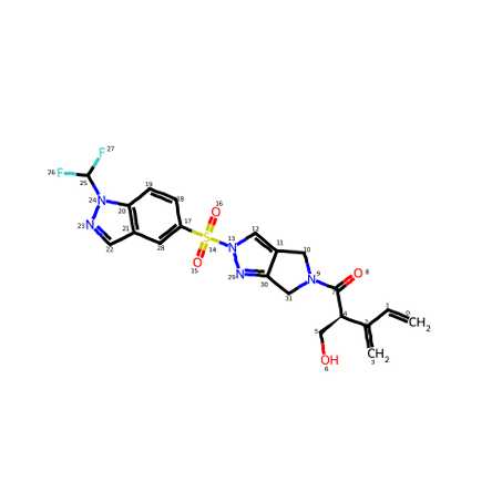 C=CC(=C)[C@@H](CO)C(=O)N1Cc2cn(S(=O)(=O)c3ccc4c(cnn4C(F)F)c3)nc2C1